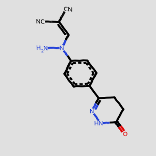 N#CC(C#N)=CN(N)c1ccc(C2=NNC(=O)CC2)cc1